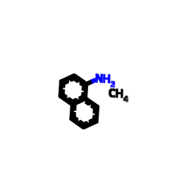 C.Nc1cccc2ccccc12